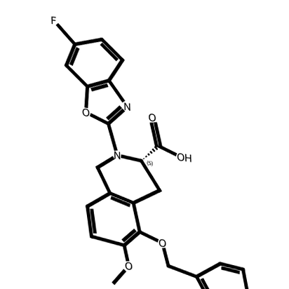 COc1ccc2c(c1OCc1ccccc1)C[C@@H](C(=O)O)N(c1nc3ccc(F)cc3o1)C2